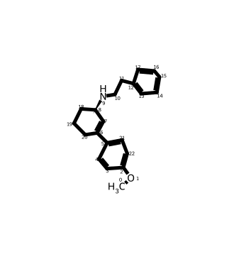 COc1ccc(C2=C[C@H](NCCc3ccccc3)CCC2)cc1